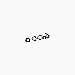 c1ccc([C@H]2CC[C@H](N3CCN(c4ncccn4)CC3)CC2)cc1